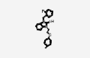 Cc1ccc(OCCn2c(=N)n(Cc3ccccc3F)c3ccccc32)cc1